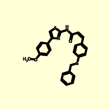 COc1ccc(-c2csc(NC(=O)/C=C\c3ccc(SCc4ccccc4)cc3)n2)cc1